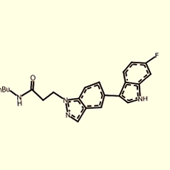 CCCCNC(=O)CCn1ncc2cc(-c3c[nH]c4cc(F)ccc34)ccc21